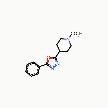 O=C(O)N1CCC(c2nnc(-c3ccccc3)o2)CC1